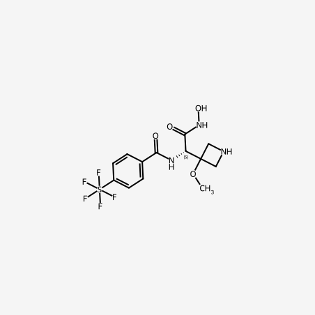 COC1([C@H](NC(=O)c2ccc(S(F)(F)(F)(F)F)cc2)C(=O)NO)CNC1